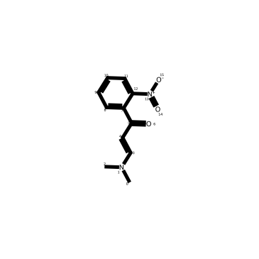 CN(C)C=CC(=O)c1ccccc1[N+](=O)[O-]